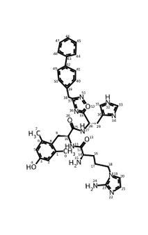 Cc1cc(O)cc(C)c1C[C@H](NC(=O)[C@H](N)CCCn1ccnc1N)C(=O)N[C@@H](Cc1c[nH]cn1)c1nc(Cc2ccc(-c3ccccc3)cc2)no1